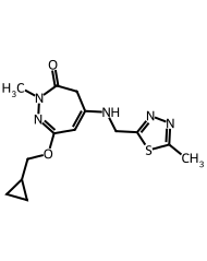 Cc1nnc(CNC2=CC(OCC3CC3)=NN(C)C(=O)C2)s1